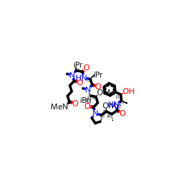 CC[C@H](C)[C@@H]([C@@H](CC(=O)N1CCC[C@H]1[C@H](OC)[C@@H](C)C(=O)N[C@H](C)[C@@H](O)c1ccccc1)OC)N(C)C(=O)[C@@H](NC(=O)[C@H](C(C)C)N(C)C(=O)CCCC(=O)NC)C(C)C